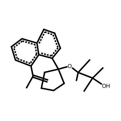 C=C(C)c1cccc2cccc(C3(OC(C)(C)C(C)(C)O)CCCC3)c12